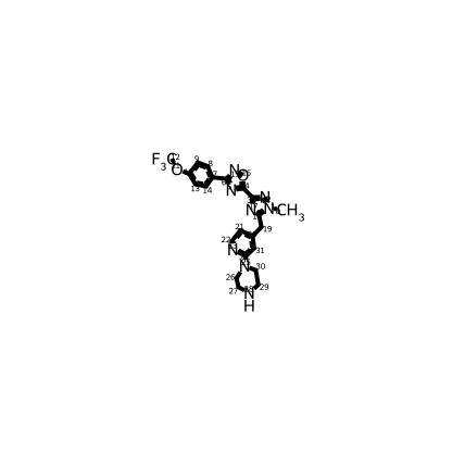 Cn1nc(-c2nc(-c3ccc(OC(F)(F)F)cc3)no2)nc1Cc1ccnc(N2CCNCC2)c1